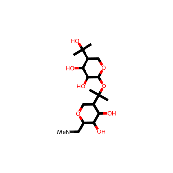 CNCC1OCC(C(C)(C)OC2OCC(C(C)(C)O)C(O)C2O)C(O)C1O